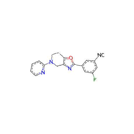 [C-]#[N+]c1cc(F)cc(-c2nc3c(o2)CCN(c2ccccn2)C3)c1